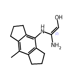 Cc1c2c(c(N/C(N)=C\O)c3c1CCC3)CCC2